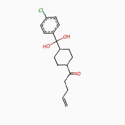 C=CCCC(=O)C1CCC(C(O)(O)c2ccc(Cl)cc2)CC1